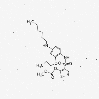 CCCCCCNc1ccc(NS(=O)(=O)c2ccsc2OC(=O)OC)c(OCCC)c1